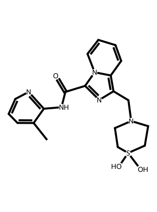 Cc1cccnc1NC(=O)c1nc(CN2CCS(O)(O)CC2)c2ccccn12